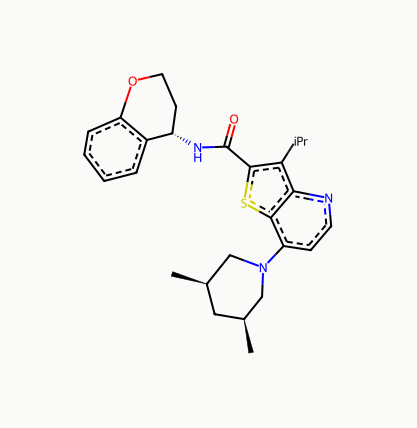 CC(C)c1c(C(=O)N[C@H]2CCOc3ccccc32)sc2c(N3C[C@H](C)C[C@H](C)C3)ccnc12